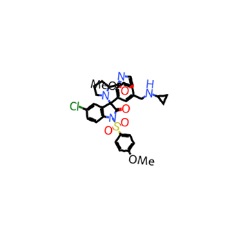 COc1ccc(S(=O)(=O)N2C(=O)C(c3cc(CNC4CC4)ccc3OC)(N3CCCC3c3ncco3)c3cc(Cl)ccc32)cc1